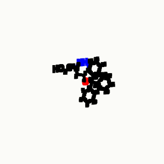 N[C@@H](CCOC(c1ccccc1)(c1ccccc1)c1ccccc1)C(=O)O